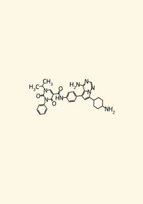 CC(C)n1cc(C(=O)Nc2ccc(-c3cc(C4CCC(N)CC4)n4ncnc(N)c34)cc2)c(=O)n(-c2ccccc2)c1=O